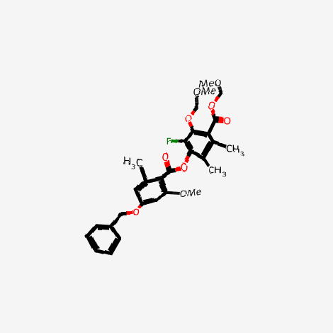 COCOC(=O)c1c(C)c(C)c(OC(=O)c2c(C)cc(OCc3ccccc3)cc2OC)c(F)c1OCOC